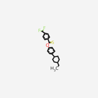 CCC1CCC(c2ccc(OC(=S)c3ccc(C(F)F)cc3)cc2)CC1